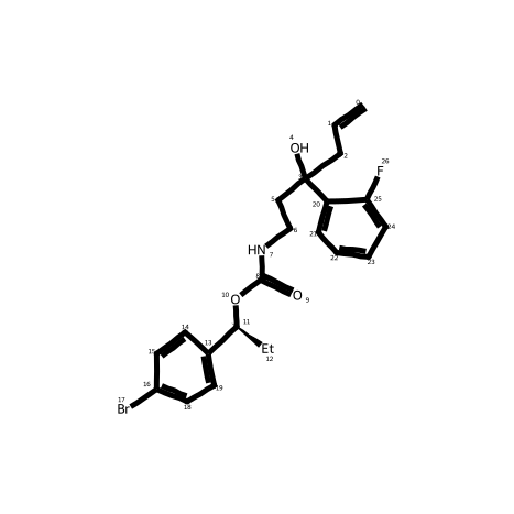 C=CCC(O)(CCNC(=O)O[C@@H](CC)c1ccc(Br)cc1)c1ccccc1F